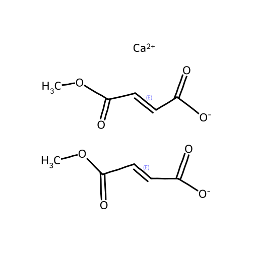 COC(=O)/C=C/C(=O)[O-].COC(=O)/C=C/C(=O)[O-].[Ca+2]